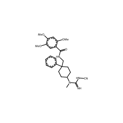 COc1cc(OC)c(C(=O)NCC2(c3ccccc3)CCC(N(C)C(=N)NC#N)CC2)cc1OC